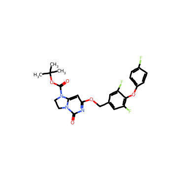 CC(C)(C)OC(=O)N1CCn2c1cc(OCc1cc(F)c(Oc3ccc(F)cc3)c(F)c1)nc2=O